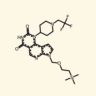 C[Si](C)(C)CCOCn1ccc2c1ncc1c(=O)[nH]c(=O)n(C3CCN(CC(F)(F)F)CC3)c12